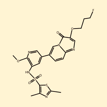 COc1ncc(-c2ccc3ncc(OCCCF)c(=O)n3c2)cc1NS(=O)(=O)c1sc(C)nc1C